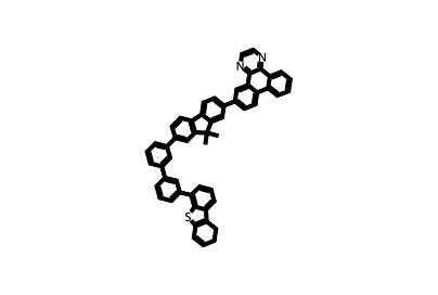 CC1(C)c2cc(-c3cccc(-c4cccc(-c5cccc6c7c(sc56)C=CCC7)c4)c3)ccc2-c2ccc(-c3ccc4c5ccccc5c5nccnc5c4c3)cc21